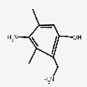 Cc1cc(O)c(CN)c(C)c1N